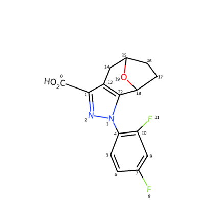 O=C(O)c1nn(-c2ccc(F)cc2F)c2c1CC1CCC2O1